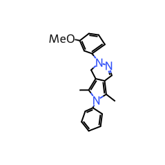 COc1cccc(N2Cc3c(c(C)n(-c4ccccc4)c3C)C=N2)c1